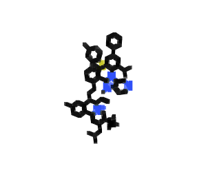 C=CC1C(CCc2ccc3c(sc4ccc(C)cc43)c2-c2n(-c3c(C(C)C)cc(-c4ccccc4)cc3C(C)C)c3cnccc3[n+]2C)c2cc(C)ccc2-c2cc(CC(C)C)c([Si](C)(C)C)c[n+]21